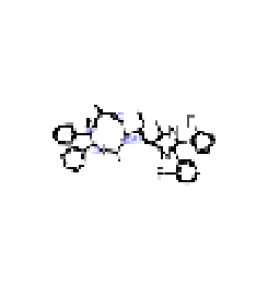 C=C1\C=C/C(C(=C/c2nc(-c3ccccc3F)c(-c3ccccc3F)nc2C)/CC)=C\C(C)/N=C(c2ccccc2)\C(c2ccccc2)=N/1